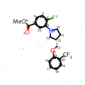 COC(=O)c1ccc(F)c(N2CC[C@H](COc3ccccc3C(F)(F)F)C2)c1